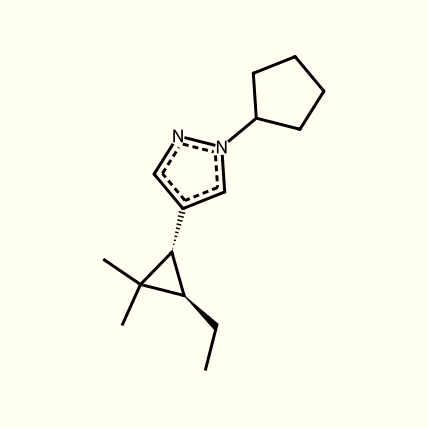 CC[C@@H]1[C@@H](c2cnn(C3CCCC3)c2)C1(C)C